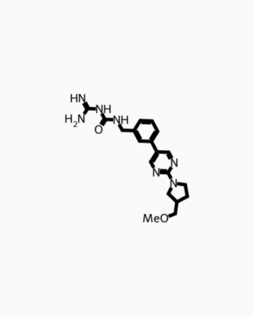 COCC1CCN(c2ncc(-c3cccc(CNC(=O)NC(=N)N)c3)cn2)C1